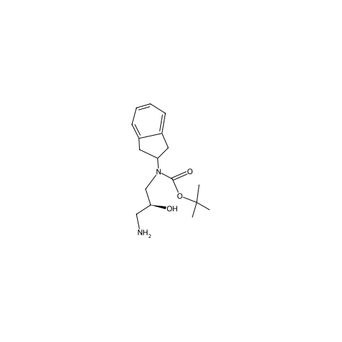 CC(C)(C)OC(=O)N(C[C@@H](O)CN)C1Cc2ccccc2C1